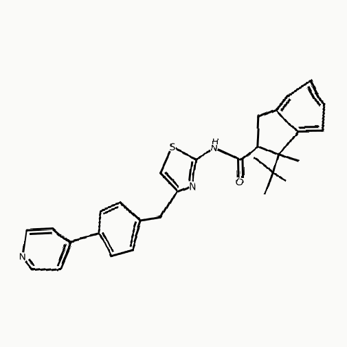 CC(C)(C)C1(C)c2ccccc2CC1C(=O)Nc1nc(Cc2ccc(-c3ccncc3)cc2)cs1